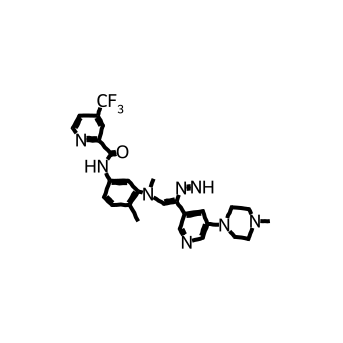 Cc1ccc(NC(=O)c2cc(C(F)(F)F)ccn2)cc1N(C)/C=C(\N=N)c1cncc(N2CCN(C)CC2)c1